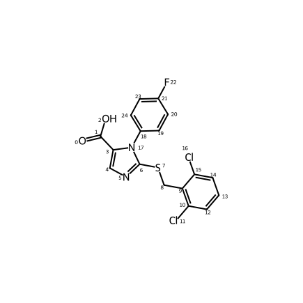 O=C(O)c1cnc(SCc2c(Cl)cccc2Cl)n1-c1ccc(F)cc1